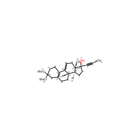 CC#C[C@]1(O)CC[C@H]2[C@@H]3CCC4=C(CCC(OC)(OC)C4)C3=CC[C@@]21C